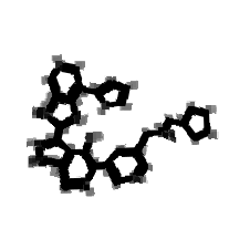 Fc1c(-c2cncc(CNCC3CCCC3)c2)ncc2[nH]nc(-c3nc4c(-c5cccs5)cncc4[nH]3)c12